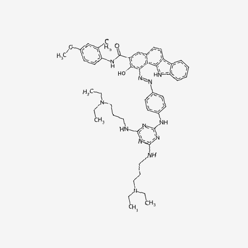 CCN(CC)CCCNc1nc(NCCCN(CC)CC)nc(Nc2ccc(N=Nc3c(O)c(C(=O)Nc4ccc(OC)cc4C)cc4ccc5c6ccccc6[nH]c5c34)cc2)n1